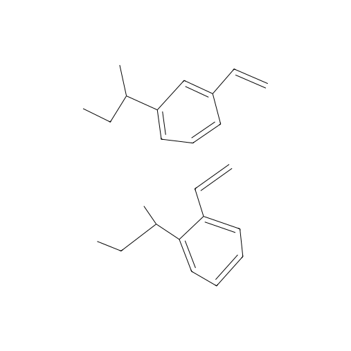 C=Cc1cccc(C(C)CC)c1.C=Cc1ccccc1C(C)CC